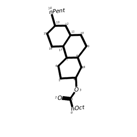 CCCCCCCCC(=O)OC1CCC2C(CCC3CC(CCCCC)CCC32)C1